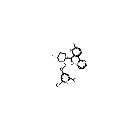 Cc1ccc(-c2ncccn2)c(C(=O)N2CC[C@@H](C)C[C@H]2COc2cc(Cl)nc(Cl)c2)n1